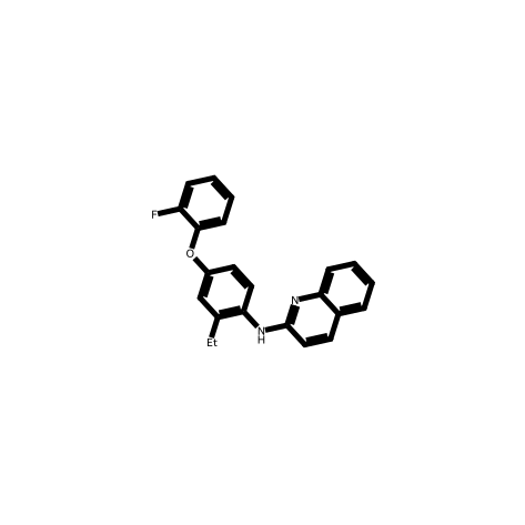 CCc1cc(Oc2ccccc2F)ccc1Nc1ccc2ccccc2n1